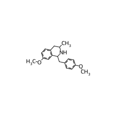 COc1ccc(CC2NC(C)Cc3ccc(OC)cc32)cc1